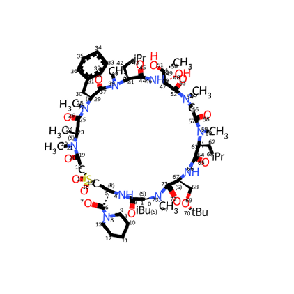 CC[C@H](C)[C@H]1C(=O)N[C@H](C(=O)N2CCCCC2)CS(=O)(=O)CC(=O)N(C)[C@@H](C)C(=O)N(C)[C@@H](Cc2ccccc2)C(=O)N(C)[C@@H](CC(C)C)C(=O)N[C@@](O)([C@@H](C)O)C(=O)N(C)CC(=O)N(C)[C@@H](CC(C)C)C(=O)N[C@@H](COC(C)(C)C)C(=O)N1C